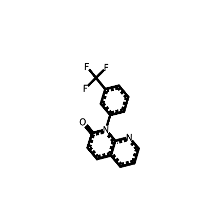 O=c1ccc2cccnc2n1-c1cccc(C(F)(F)F)c1